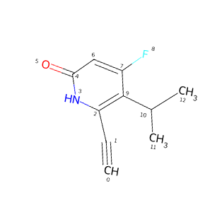 C#Cc1[nH]c(=O)cc(F)c1C(C)C